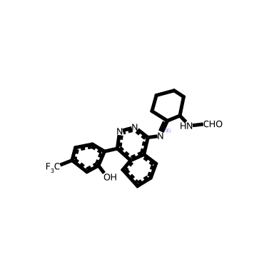 O=CNC1CCCC/C1=N\c1nnc(-c2ccc(C(F)(F)F)cc2O)c2ccccc12